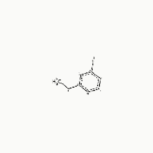 CCc1[c]c(F)ccc1